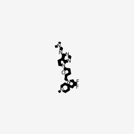 CN(C)/C=N/c1ncnc2c1ccn2C1CCC(CN2CC(F)(F)CC23CCN(C)CC3)O1